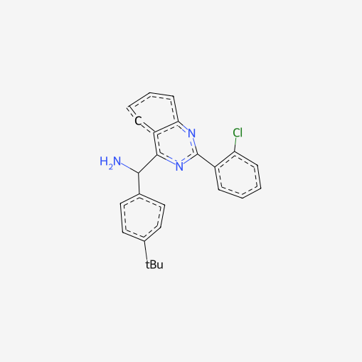 CC(C)(C)c1ccc(C(N)c2nc(-c3ccccc3Cl)nc3ccccc23)cc1